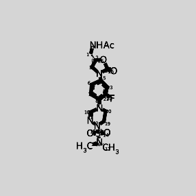 CC(=O)NC[C@H]1CN(c2ccc(N3C=NN(S(=O)(=O)N(C)C)CC3)c(F)c2)C(=O)O1